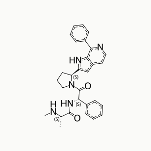 CN[C@@H](C)C(=O)N[C@H](C(=O)N1CCC[C@H]1c1cc2ccnc(-c3ccccc3)c2[nH]1)c1ccccc1